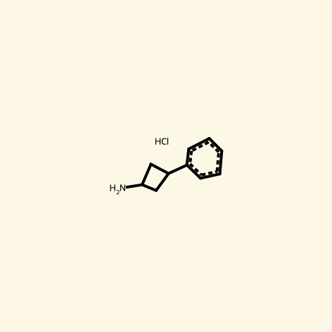 Cl.NC1CC(c2ccccc2)C1